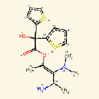 C/C(OC(=O)C(O)(c1cccs1)c1cccs1)=C(\C(C)N)N(C)C